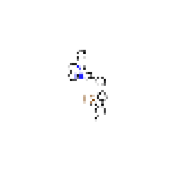 C=C/C=C1\C(CC)c2ccc(-c3cccc(-c4c[nH]c(/C(C)=N/C(=C\C(=C)c5ccccc5)c5ccccc5)c4)c3)cc2C1(C)S